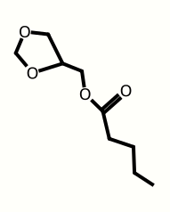 CCCCC(=O)OCC1COCO1